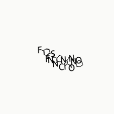 O=c1c(Cl)c(N2CCc3c(ncnc3Sc3ccc(F)cc3F)C2)cnn1C1CCCCO1